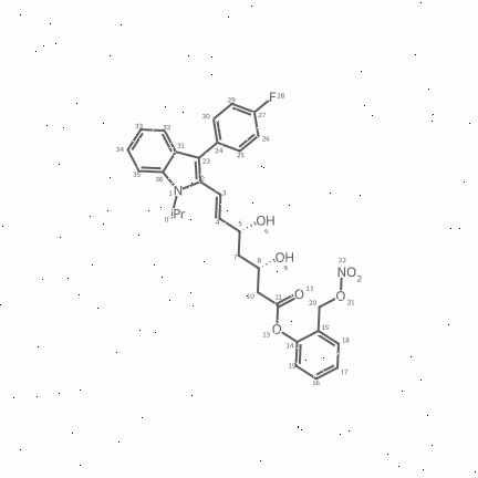 CC(C)n1c(/C=C/[C@H](O)C[C@H](O)CC(=O)Oc2ccccc2CO[N+](=O)[O-])c(-c2ccc(F)cc2)c2ccccc21